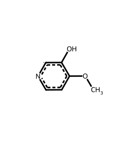 COc1ccn[c]c1O